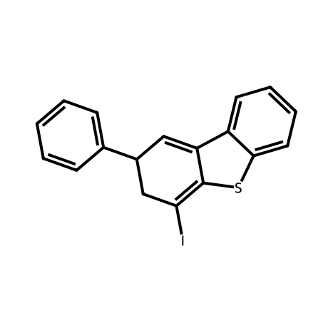 IC1=c2sc3ccccc3c2=CC(c2ccccc2)C1